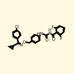 O=C(NC(=O)c1c(F)cccc1F)Nc1ccc(CO/N=C(\c2ccc(Cl)cc2)C2CC2)cc1